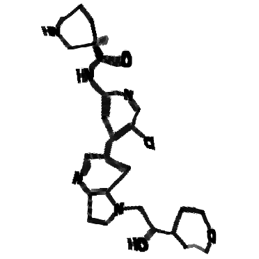 O=C(Nc1cc(-c2cnc3ccn(CC(O)C4CCOCC4)c3c2)c(Cl)cn1)[C@@H]1CCCNC1